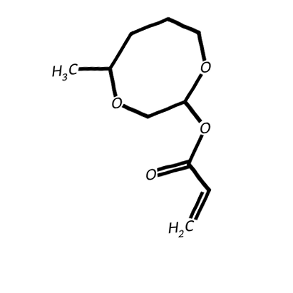 C=CC(=O)OC1COC(C)CCCO1